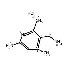 Cc1cc(N)nc(C)c1CN.Cl